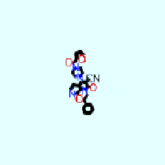 N#Cc1c(N2CCN(C(=O)c3ccco3)CC2)c2ccncc2n(CC(=O)c2ccccc2)c1=O